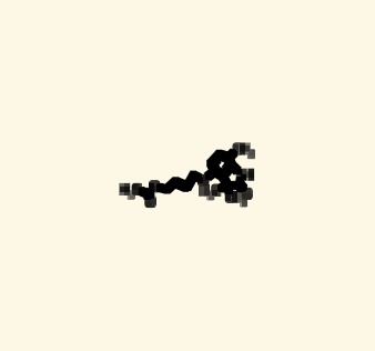 CC(=O)OCC=CCOc1ccc(C)c2c1C(C)(C)C(=O)N2